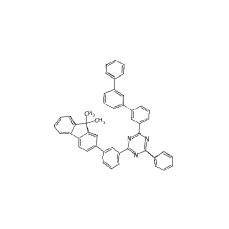 CC1(C)c2ccccc2-c2ccc(-c3cccc(-c4nc(-c5ccccc5)nc(-c5cccc(-c6cccc(-c7ccccc7)c6)c5)n4)c3)cc21